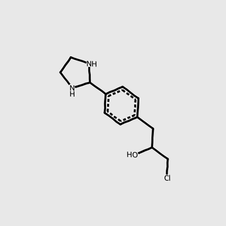 OC(CCl)Cc1ccc(C2NCCN2)cc1